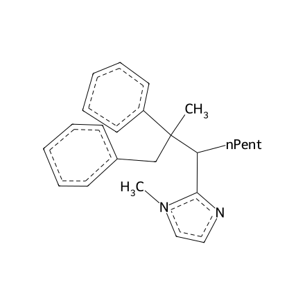 CCCCCC(c1nccn1C)C(C)(Cc1ccccc1)c1ccccc1